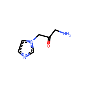 NCC(=O)Cn1ccnc1